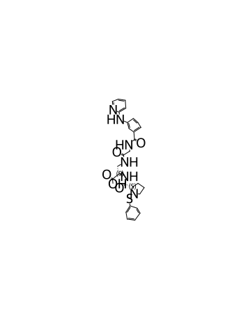 O=C(CNC(=O)c1cccc(Nc2ccccn2)c1)NC[C@H](NC(=O)[C@@H]1CCCN1Sc1ccccc1)C(=O)O